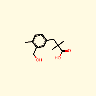 Cc1ccc(CC(C)(C)C(=O)O)cc1CO